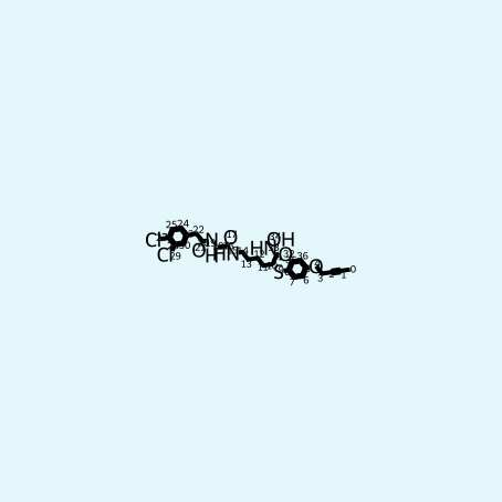 CC#CCOc1ccc(SC(CCCCNC(=O)CNC(=O)Cc2ccc(Cl)c(Cl)c2)C(=O)NO)cc1